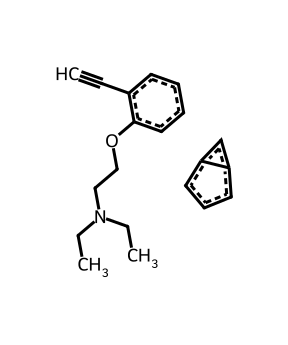 C#Cc1ccccc1OCCN(CC)CC.c1cc2cc-2c1